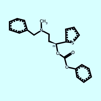 CN(CC[C@H](OC(=O)Oc1ccccc1)c1cccs1)Cc1ccccc1